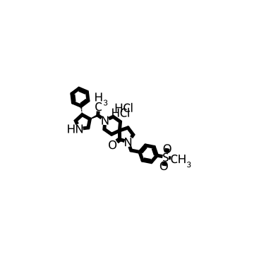 CC([C@H]1CNC[C@@H]1c1ccccc1)N1CCC2(CCN(Cc3ccc(S(C)(=O)=O)cc3)C2=O)CC1.Cl.Cl